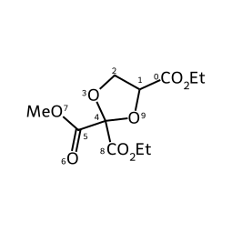 CCOC(=O)C1COC(C(=O)OC)(C(=O)OCC)O1